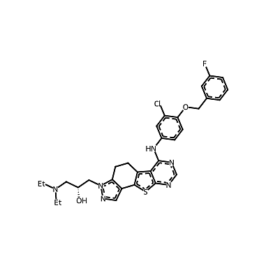 CCN(CC)C[C@@H](O)Cn1ncc2c1CCc1c-2sc2ncnc(Nc3ccc(OCc4cccc(F)c4)c(Cl)c3)c12